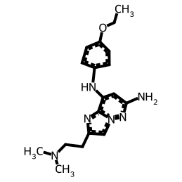 CCOc1ccc(Nc2cc(N)nn3cc(CCN(C)C)nc23)cc1